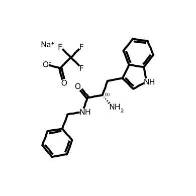 N[C@@H](Cc1c[nH]c2ccccc12)C(=O)NCc1ccccc1.O=C([O-])C(F)(F)F.[Na+]